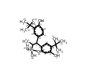 CC(C(c1ccc(O)c(C(C)(C)C)c1)c1ccc(O)c(C(C)(C)C)c1)[PH](O)(O)O